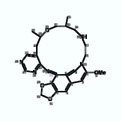 COC1=Cc2cc3c(/c4c2=CN1CCNCC(C)COC(C)Cc1cncnc1\N=4)OCO3